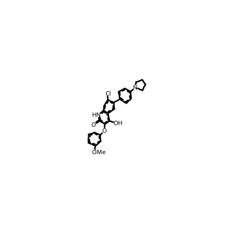 COc1cccc(Oc2c(O)c3cc(-c4ccc(N5CCCC5)cc4)c(Cl)cc3[nH]c2=O)c1